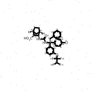 O=C(N[C@@H]1[C@H]2CC[C@H](C2)[C@@H]1C(=O)O)N[C@@](Cc1ccccc1)(c1cccc(OC(F)(F)C(F)F)c1)c1ccc(Cl)cn1